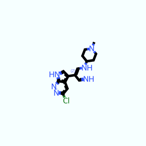 CN1CCC(N/C=C(\C=N)c2c[nH]c3nnc(Cl)cc23)CC1